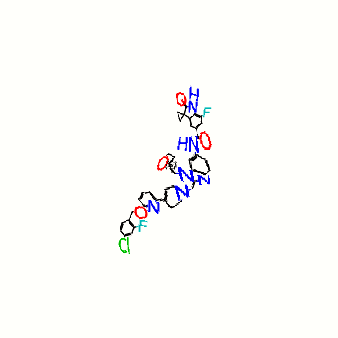 O=C(Nc1ccc2nc(CN3CC=C(c4cccc(OCc5ccc(Cl)cc5F)n4)CC3)n(C[C@@H]3CCO3)c2c1)c1cc(F)c2c(c1)C1(CC1)C(=O)N2